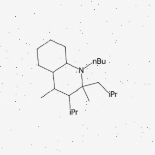 CCCCN1C2CCCCC2C(C)C(C(C)C)C1(C)CC(C)C